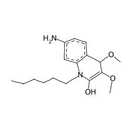 CCCCCCN1C(O)=C(OC)C(OC)c2ccc(N)cc21